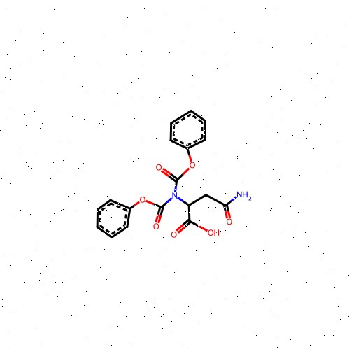 NC(=O)CC(C(=O)O)N(C(=O)Oc1ccccc1)C(=O)Oc1ccccc1